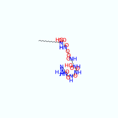 CCCCCCCCCCCCCCCC(=O)N[C@@H](CCC(=O)NCCOCCOCC(=O)NCCCC[C@H](NCC(=O)C(C)(C)NCC(=O)C(C)(C)NCC(=O)C(C)(C)NC(=O)[C@@H](N)Cc1cnc[nH]1)C(=O)O)C(=O)O